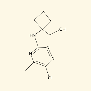 Cc1nc(NC2(CO)CCC2)nnc1Cl